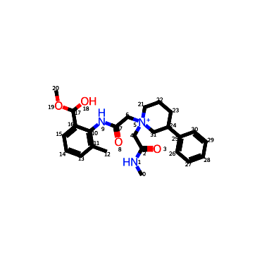 CNC(=O)C[N+]1(CC(=O)Nc2c(C)cccc2C(O)OC)CCCC(c2ccccc2)C1